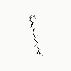 CC/C=C/CCOCCOCC